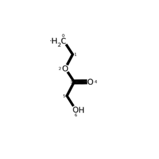 [CH2]COC(=O)CO